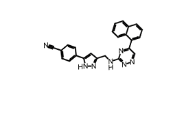 N#Cc1ccc(-c2cc(CNc3nncc(-c4cccc5ccccc45)n3)n[nH]2)cc1